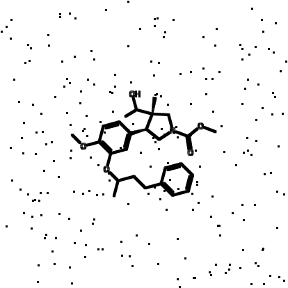 COC(=O)N1C[C@@H](c2ccc(OC)c(OC(C)CCc3ccccc3)c2)[C@](C)(C(C)O)C1